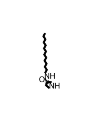 CCCCCCCCCCCCCCNC(=O)[C@@H]1CCNC1